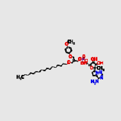 CCCCCCCCCCCCCCCCCOC[C@@H](COc1ccc(OC)cc1)COP(=O)(O)OC[C@H]1O[C@@](C)(c2ccc3c(N)ncnn23)[C@H](O)[C@@H]1O